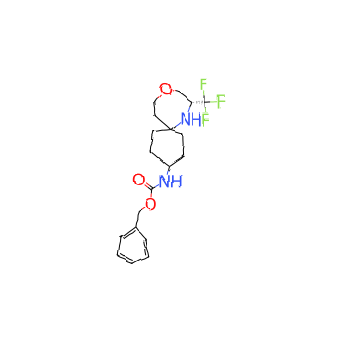 O=C(NC1CCC2(CCOC[C@H](C(F)(F)F)N2)CC1)OCc1ccccc1